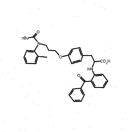 CCCCC(=O)N(CCCOc1ccc(CC(Nc2ccccc2C(=O)c2ccccc2)C(=O)O)cc1)c1ccccc1C